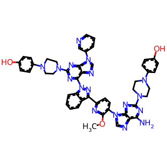 COc1nc(-c2nn(-c3nc(N4CCN(c5ccc(O)cc5)CC4)nc4c3ncn4-c3cccnc3)c3ccccc23)ccc1-n1cnc2c(N)nc(N3CCN(c4ccc(O)cc4)CC3)nc21